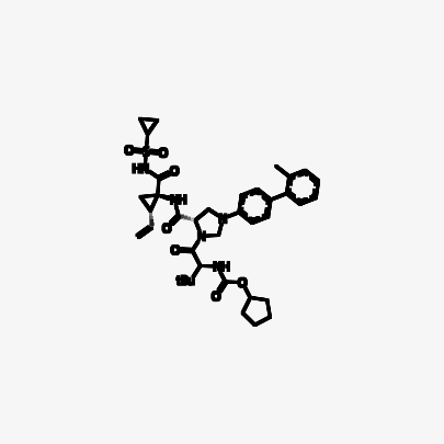 C=C[C@@H]1C[C@]1(NC(=O)[C@@H]1CN(c2ccc(-c3ccccc3C)cc2)CN1C(=O)C(NC(=O)OC1CCCC1)C(C)(C)C)C(=O)NS(=O)(=O)C1CC1